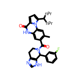 CCCC(CCC)c1ccc2c(=O)[nH]c3cc(C(=O)N4CCc5nc[nH]c5C4c4cccc(F)c4)c(C)cc3n12